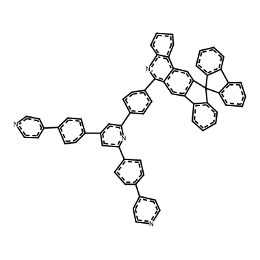 c1ccc2c(c1)-c1ccccc1C21c2ccccc2-c2cc3c(-c4ccc(-c5cc(-c6ccc(-c7ccncc7)cc6)cc(-c6ccc(-c7ccncc7)cc6)n5)cc4)nc4ccccc4c3cc21